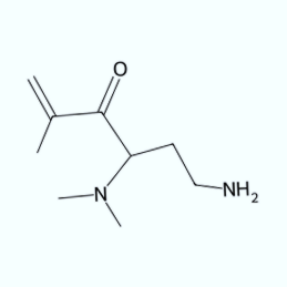 C=C(C)C(=O)C(CCN)N(C)C